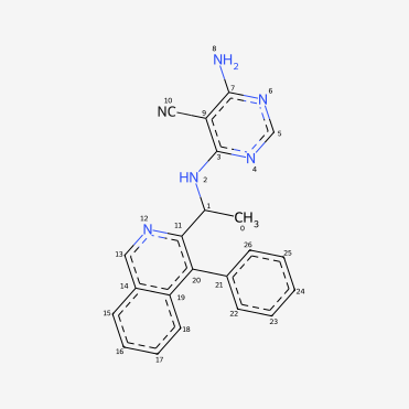 CC(Nc1ncnc(N)c1C#N)c1ncc2ccccc2c1-c1ccccc1